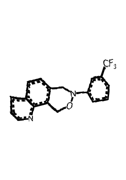 FC(F)(F)c1cccc(N2Cc3ccc4cccnc4c3CO2)c1